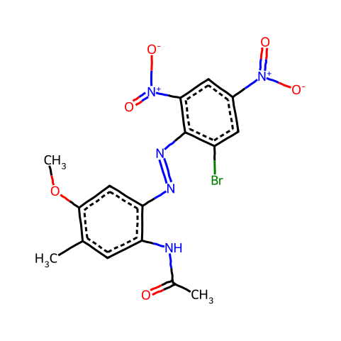 COc1cc(N=Nc2c(Br)cc([N+](=O)[O-])cc2[N+](=O)[O-])c(NC(C)=O)cc1C